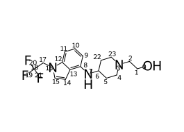 OCCN1CCC(Nc2cccc3c2ccn3CC(F)(F)F)CC1